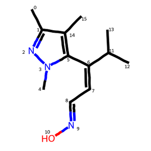 Cc1nn(C)c(/C(=C\C=N\O)C(C)C)c1C